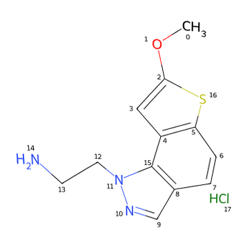 COc1cc2c(ccc3cnn(CCN)c32)s1.Cl